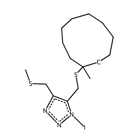 CSCc1nnn(I)c1CSC1(C)CCCCCCCCC1